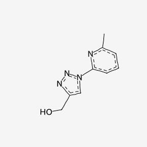 Cc1cccc(-n2cc(CO)nn2)n1